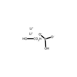 O=C(O)O.[Li+].[Li+].[O-]B([O-])O